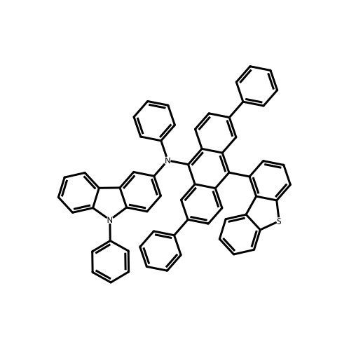 c1ccc(-c2ccc3c(N(c4ccccc4)c4ccc5c(c4)c4ccccc4n5-c4ccccc4)c4cc(-c5ccccc5)ccc4c(-c4cccc5sc6ccccc6c45)c3c2)cc1